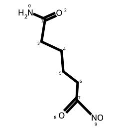 NC(=O)CCCCC(=O)N=O